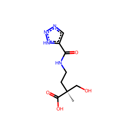 C[C@@](CO)(CCNC(=O)c1cnn[nH]1)C(=O)O